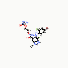 Cn1cnc2c(F)c(Nc3ccc(Br)cc3F)c(C(=O)NOCCOC(N)=O)cc21